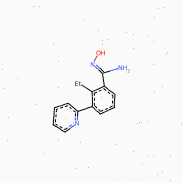 CCc1c(C(N)=NO)cccc1-c1ccccn1